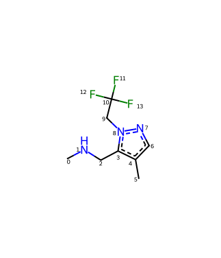 CNCc1c(C)cnn1CC(F)(F)F